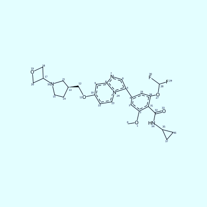 COc1cc(-c2cnc3cc(OC[C@H]4CCN(C5COC5)C4)ccn23)cc(OC(F)F)c1C(=O)NC1CC1